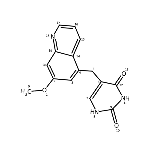 COc1cc(Cc2c[nH]c(=O)[nH]c2=O)c2cccnc2c1